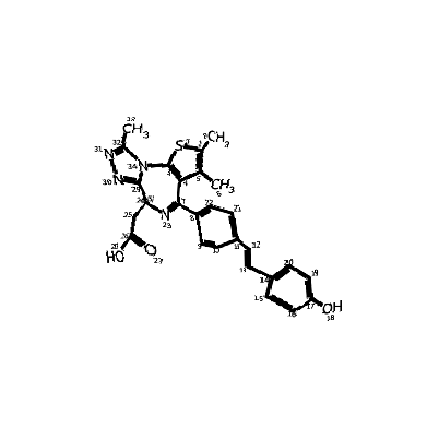 Cc1sc2c(c1C)C(c1ccc(C=Cc3ccc(O)cc3)cc1)=N[C@@H](CC(=O)O)c1nnc(C)n1-2